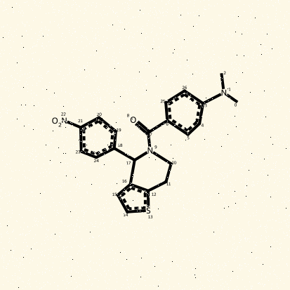 CN(C)c1ccc(C(=O)N2CCc3sccc3C2c2ccc([N+](=O)[O-])cc2)cc1